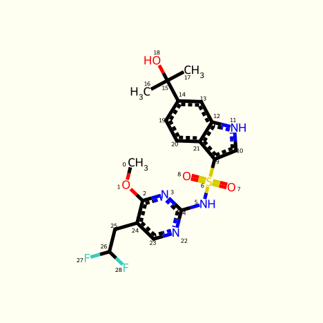 COc1nc(NS(=O)(=O)c2c[nH]c3cc(C(C)(C)O)ccc23)ncc1CC(F)F